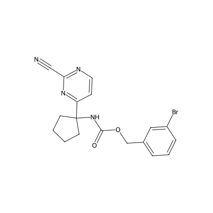 N#Cc1nccc(C2(NC(=O)OCc3cccc(Br)c3)CCCC2)n1